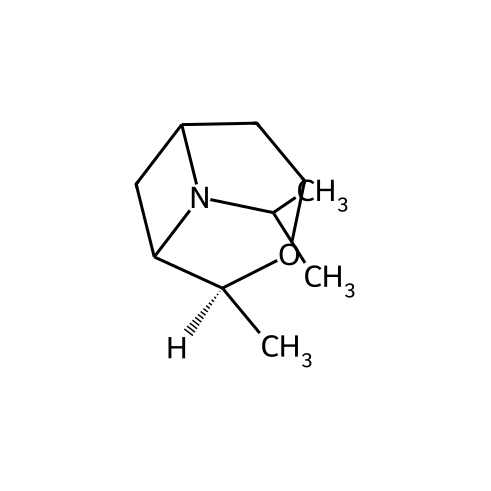 CC(C)N1C2CCO[C@@H](C)C1C2